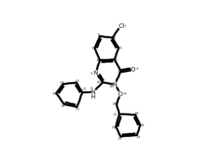 O=c1c2cc(Cl)ccc2nc(Nc2ccccc2)n1OCc1ccccc1